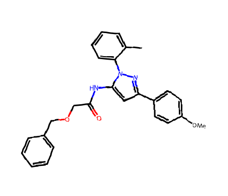 COc1ccc(-c2cc(NC(=O)COCc3ccccc3)n(-c3ccccc3C)n2)cc1